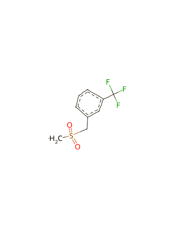 [CH2]S(=O)(=O)Cc1cccc(C(F)(F)F)c1